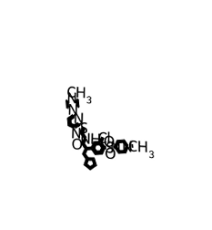 CN1CCN(c2ccc3nc(NC(=O)C(CC4CCCC4)c4ccc(S(=O)(=O)N5CCN(C)CC5)c(Cl)c4)sc3n2)CC1